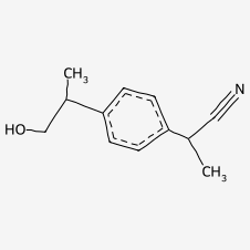 CC(C#N)c1ccc(C(C)CO)cc1